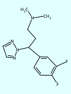 CN(C)CCC(c1ccc(F)c(F)c1)n1nccn1